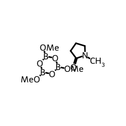 CN1CCCC1=O.COB1OB(OC)OB(OC)O1